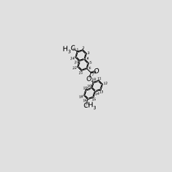 Cc1ccc2cc(C(=O)Oc3cccc4cc(C)ccc34)ccc2c1